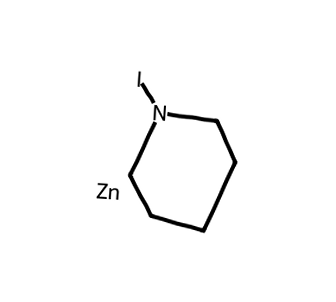 IN1CCCCC1.[Zn]